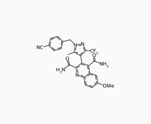 COc1ccc2nc(C(N)=O)c(-c3c(C(F)(F)F)nn(Cc4ccc(C#N)cc4)c3C)c(C(N)=O)c2c1